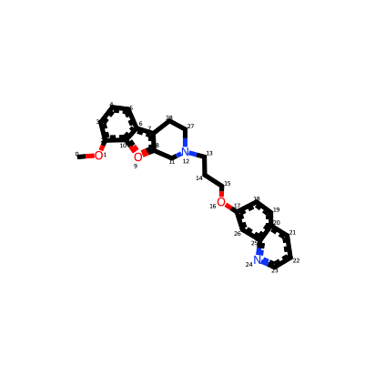 COc1cccc2c3c(oc12)CN(CCCOc1ccc2cccnc2c1)CC3